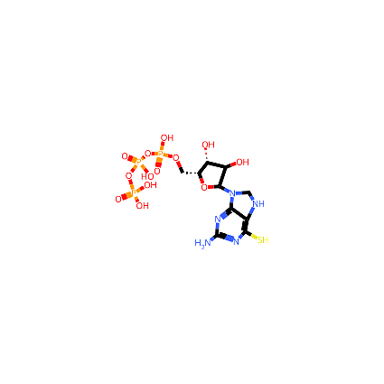 Nc1nc(S)c2c(n1)N(C1O[C@H](COP(=O)(O)OP(=O)(O)OP(=O)(O)O)[C@H](O)C1O)CN2